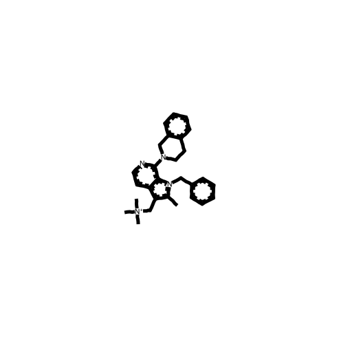 Cc1c(C[N+](C)(C)C)c2ccnc(N3CCc4ccccc4C3)c2n1Cc1ccccc1